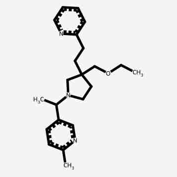 CCOCC1(CCc2ccccn2)CCN(C(C)c2ccc(C)nc2)C1